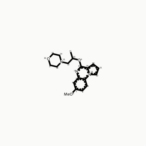 COc1ccc2c(c1)nc(OC(C)CN1CCOCC1)c1cccn12